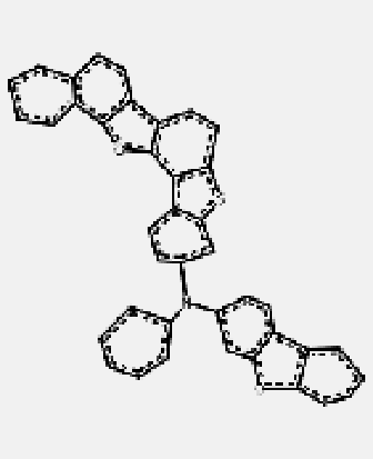 c1ccc(N(c2ccc3c(c2)oc2ccccc23)c2ccc3c(c2)sc2ccc4c5ccc6ccccc6c5oc4c23)cc1